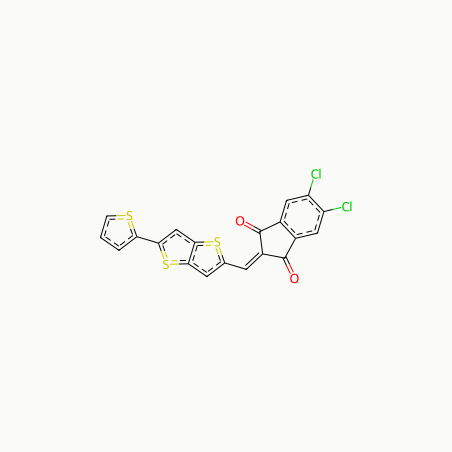 O=C1C(=Cc2cc3sc(-c4cccs4)cc3s2)C(=O)c2cc(Cl)c(Cl)cc21